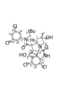 CC(C)(C)CN(C(=O)[C@H]1[C@H]2C[C@](C)(O)CN2[C@]2(C(=O)Nc3c(Cl)cc(Cl)cc32)[C@H]1C(=O)O)c1cc(Cl)cc(Cl)c1